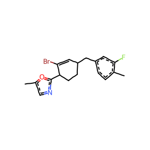 Cc1cnc(C2CCC(Cc3ccc(C)c(F)c3)C=C2Br)o1